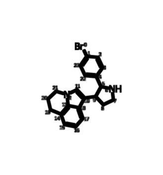 Brc1ccc(C2NCCC2c2cn3c4c(cccc24)CCC3)cc1